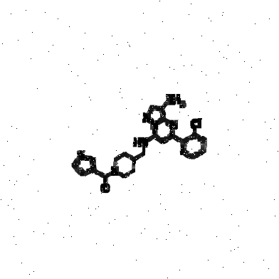 Bc1cnn2c(NCC3CCN(C(=O)c4ccsc4)CC3)cc(-c3ccccc3Cl)nc12